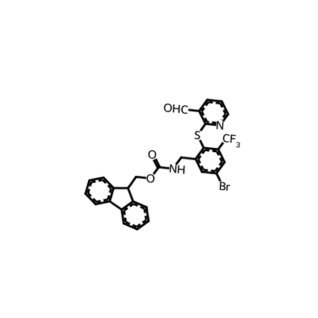 O=Cc1cccnc1Sc1c(CNC(=O)OCC2c3ccccc3-c3ccccc32)cc(Br)cc1C(F)(F)F